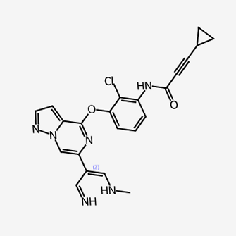 CN/C=C(\C=N)c1cn2nccc2c(Oc2cccc(NC(=O)C#CC3CC3)c2Cl)n1